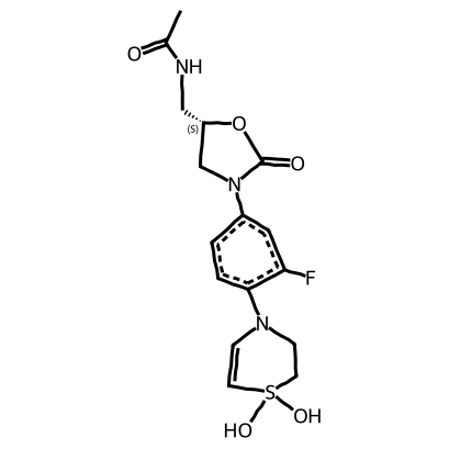 CC(=O)NC[C@H]1CN(c2ccc(N3C=CS(O)(O)CC3)c(F)c2)C(=O)O1